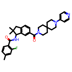 Cc1ccc(C(=O)NC2c3cc(C(=O)N4CCC5(CC4)CCN(c4ccncc4)CC5)ccc3CC2(C)C)c(F)c1